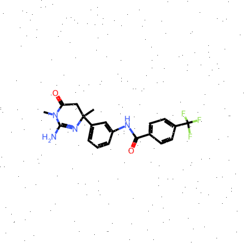 CN1C(=O)CC(C)(c2cccc(NC(=O)c3ccc(C(F)(F)F)cc3)c2)N=C1N